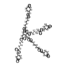 O=C(CCCCCOC(=O)CC(COOCCCCCCOOCC1CCC2OC2C1)C(CCOOCCCCCCOOCC1CCC2OC2C1)C(=O)OCCCCCC(=O)OCC1CCC2OC2C1)OCC1CCC2OC2C1